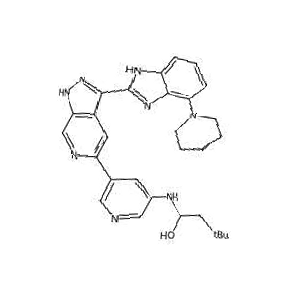 CC(C)(C)CC(O)Nc1cncc(-c2cc3c(-c4nc5c(N6CCCCC6)cccc5[nH]4)n[nH]c3cn2)c1